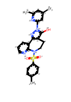 Cc1ccc(S(=O)(=O)N2CCc3c(nn(-c4cc(C(F)(F)F)cc(C)n4)c3O)-c3cccnc32)cc1